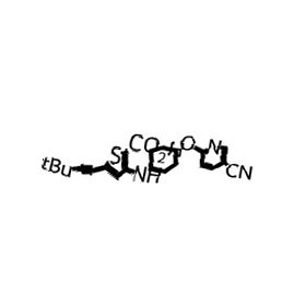 CC(C)(C)C#Cc1cc(N[C@H]2CC[C@H](Oc3ccc(C#N)cn3)CC2)c(C(=O)O)s1